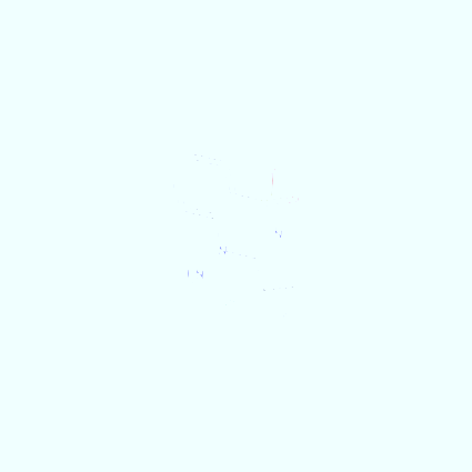 NN1C(C2(Cl)CC2)=NS(=O)(=O)c2ccccc21